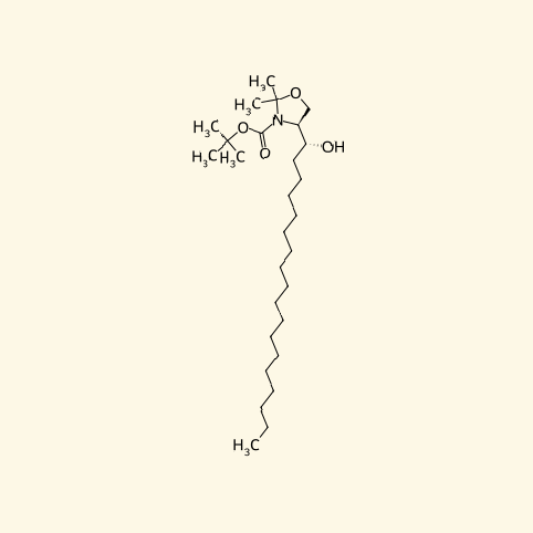 CCCCCCCCCCCCCCCCC[C@@H](O)[C@@H]1COC(C)(C)N1C(=O)OC(C)(C)C